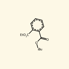 CCOC(=O)c1ccccc1C(=O)OC(C)CC